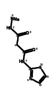 CNNC(=O)CC(=O)Nc1nccs1